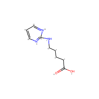 O=C(O)CCCCNc1ncccn1